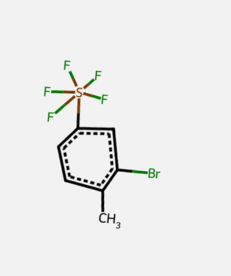 Cc1ccc(S(F)(F)(F)(F)F)cc1Br